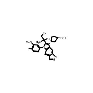 COc1cc(-n2c(C(C)(C)CC#N)c([C@@H]3CC[C@@H](C(=O)O)C3)c3cc4[nH]ncc4cc32)ccc1F